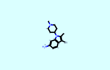 CCc1c(C)n(C2CCN(C)CC2)c2cc(N)ccc12